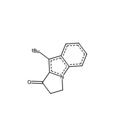 CC(C)(C)c1c2n(c3ccccc13)CCC2=O